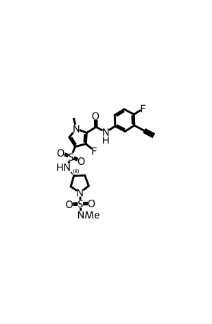 C#Cc1cc(NC(=O)c2c(F)c(S(=O)(=O)N[C@@H]3CCN(S(=O)(=O)NC)C3)cn2C)ccc1F